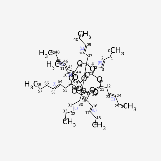 CC/C=C/CC12OC3(C/C=C/CC)OC4(C/C=C/CC)OC(C/C=C/CC)(O1)OC1(C/C=C/CC)OC(C/C=C/CC)(O2)OC(C/C=C/CC)(O3)OC(C/C=C/CCC)(O4)O1